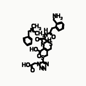 CN(C)Cc1ccccc1.NCc1ccccc1CC(=O)NC1C(=O)N2C(C(=O)O)=C(CSc3nnnn3CC(=O)O)CS[C@H]12